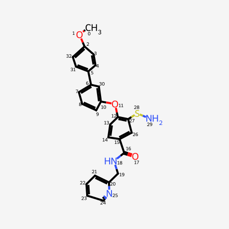 COc1ccc(-c2cccc(Oc3ccc(C(=O)NCc4ccccn4)cc3SN)c2)cc1